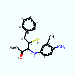 COC(=O)C(Nc1ccc(N)c(C)c1)C(S)Cc1ccccc1